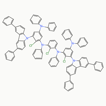 Clc1c(N(c2ccccc2)c2cc(N(c3ccccc3)c3ccccc3)cc(-n3c4ccc(-c5ccccc5)cc4c4cc(-c5ccccc5)ccc43)c2Cl)cccc1N(c1ccccc1)c1cc(N(c2ccccc2)c2ccccc2)cc(-n2c3ccc(-c4ccccc4)cc3c3cc(-c4ccccc4)ccc32)c1Cl